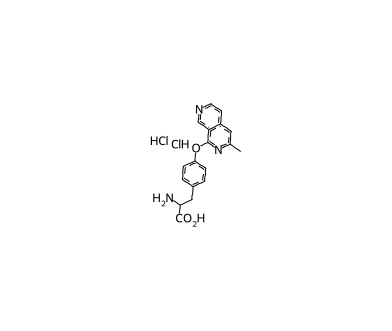 Cc1cc2ccncc2c(Oc2ccc(CC(N)C(=O)O)cc2)n1.Cl.Cl